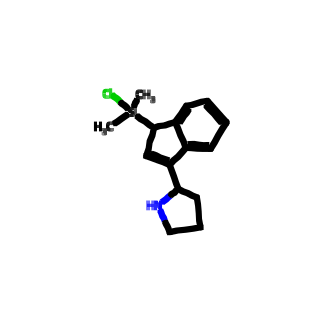 C[Si](C)(Cl)C1C=C(C2CCCN2)c2ccccc21